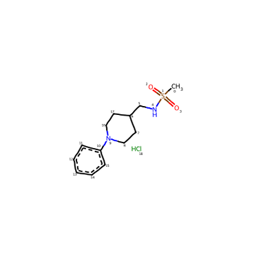 CS(=O)(=O)NCC1CCN(c2ccccc2)CC1.Cl